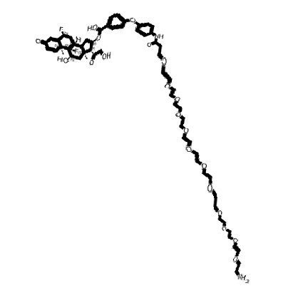 C[C@]12C[C@H](O)[C@@]3(F)[C@@H](C[C@H](F)C4=CC(=O)C=C[C@@]43C)C1C[C@@H](OC(O)c1ccc(Oc3ccc(NC(=O)CCOCCOCCOCCOCCOCCOCCOCCOCCOCCOCCOCCOCCN)cc3)cc1)[C@@H]2C(=O)CO